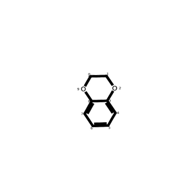 [CH]1COc2ccccc2O1